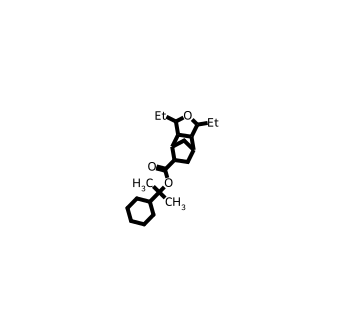 CCC1OC(CC)C2C3CC(CC3C(=O)OC(C)(C)C3CCCCC3)C12